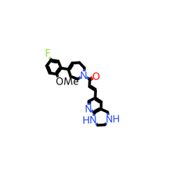 COc1ccc(F)cc1C1=CCCN(C(=O)/C=C/c2cnc3c(c2)CNCCN3)CC1